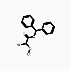 CCOC(C#N)C(=O)OC(c1ccccc1)c1ccccc1